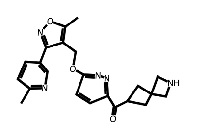 Cc1ccc(-c2noc(C)c2COc2ccc(C(=O)C3CC4(CNC4)C3)nn2)cn1